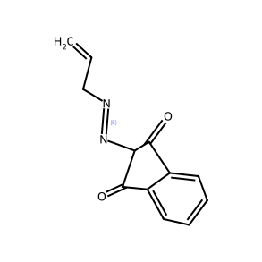 C=CC/N=N/C1C(=O)c2ccccc2C1=O